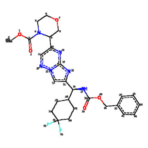 CC(C)(C)OC(=O)N1CCOCC1c1cnn2cc([C@@H](NC(=O)OCc3ccccc3)C3CCC(F)(F)CC3)nc2n1